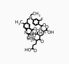 CCN(Cc1cc2c(=O)[nH]c(C)nc2cc1C)c1ccc(C(=O)N[C@H](CC(C(=O)O)C(=O)[C@H](N)CCC(=O)O)C(=O)O)c(F)c1